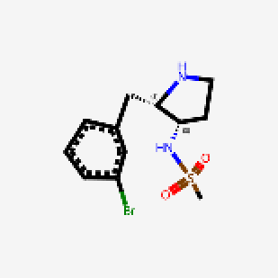 CS(=O)(=O)N[C@H]1CCN[C@H]1Cc1cccc(Br)c1